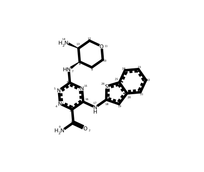 NC(=O)c1nnc(N[C@@H]2CCOC[C@@H]2N)nc1Nc1cc2ccccc2s1